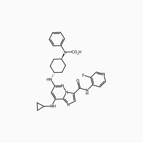 O=C(Nc1ccncc1F)c1cnc2c(NC3CC3)cc(N[C@H]3CC[C@H](N(C(=O)O)c4ccccc4)CC3)nn12